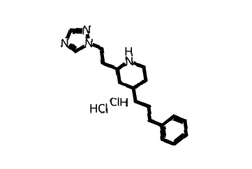 Cl.Cl.c1ccc(CCCC2CCNC(CCn3cncn3)C2)cc1